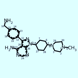 CN1CCN(C2CCC(n3nc(-c4ccc(CN)cc4)c4c(N)ncnc43)CC2)CC1